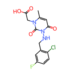 Cc1cc(=O)n(NCc2cc(F)ccc2Cl)c(=O)n1CC(=O)O